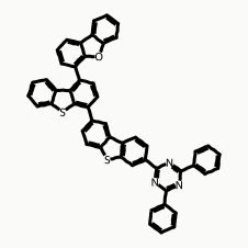 c1ccc(-c2nc(-c3ccccc3)nc(-c3ccc4c(c3)sc3ccc(-c5ccc(-c6cccc7c6oc6ccccc67)c6c5sc5ccccc56)cc34)n2)cc1